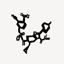 CNC(=O)c1c(-c2ccc(F)cc2)oc2cc(NS(=O)(=O)Cc3ccc([N+](=O)[O-])c(C#N)c3)c(C3CC3)cc12